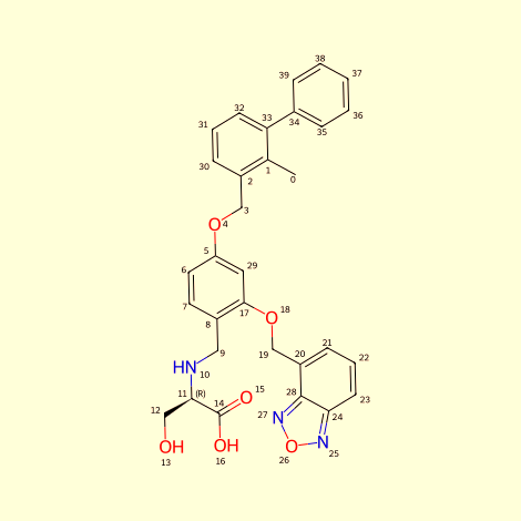 Cc1c(COc2ccc(CN[C@H](CO)C(=O)O)c(OCc3cccc4nonc34)c2)cccc1-c1ccccc1